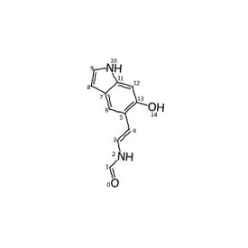 O=CNC=Cc1cc2cc[nH]c2cc1O